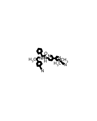 C[C@@H](CN[C@@H](C(=O)Nc1ccc(-c2cnn(C(C)(C)C#N)c2)cn1)c1ccccc1)c1ccc(C#N)cc1